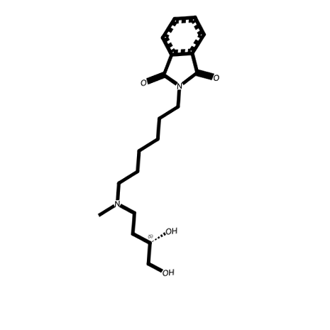 CN(CCCCCCN1C(=O)c2ccccc2C1=O)CC[C@H](O)CO